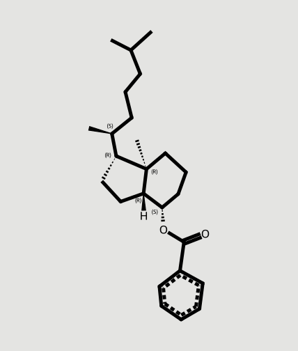 CC(C)CCC[C@H](C)[C@H]1CC[C@H]2[C@@H](OC(=O)c3ccccc3)CCC[C@]12C